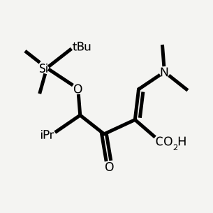 CC(C)C(O[Si](C)(C)C(C)(C)C)C(=O)/C(=C/N(C)C)C(=O)O